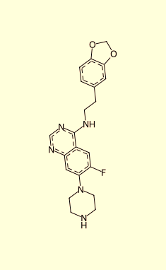 Fc1cc2c(NCCc3ccc4c(c3)OCO4)ncnc2cc1N1CCNCC1